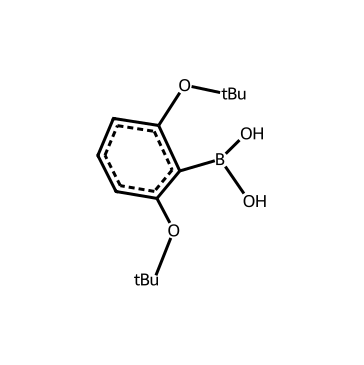 CC(C)(C)Oc1cccc(OC(C)(C)C)c1B(O)O